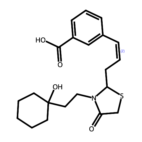 O=C(O)c1cccc(/C=C\CC2SCC(=O)N2CCC2(O)CCCCC2)c1